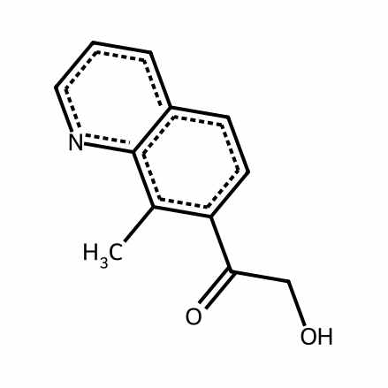 Cc1c(C(=O)CO)ccc2cccnc12